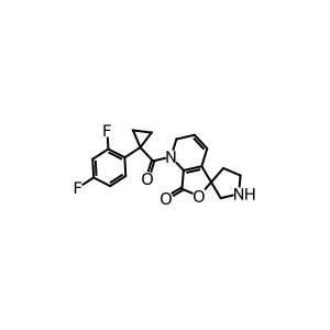 O=C1OC2(CCNC2)C2=C1N(C(=O)C1(c3ccc(F)cc3F)CC1)CC=C2